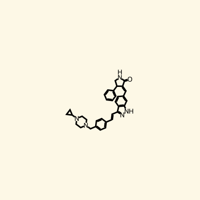 O=C1NCC(c2ccccc2)/C1=C\c1ccc2c(/C=C/c3ccc(CN4CCN(C5CC5)CC4)cc3)n[nH]c2c1